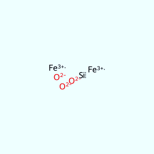 [Fe+3].[Fe+3].[O-2].[O-2].[O-2].[Si]